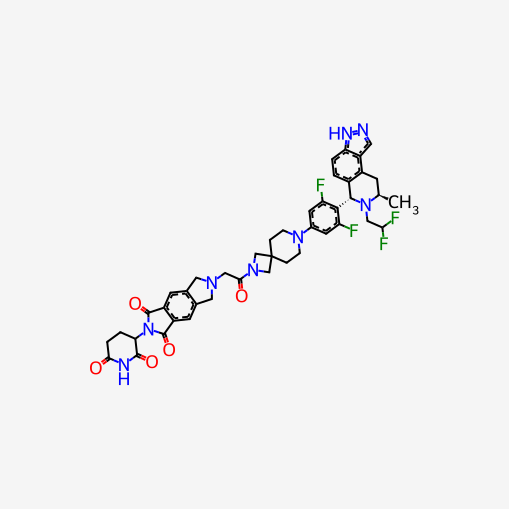 C[C@@H]1Cc2c(ccc3[nH]ncc23)[C@@H](c2c(F)cc(N3CCC4(CC3)CN(C(=O)CN3Cc5cc6c(cc5C3)C(=O)N(C3CCC(=O)NC3=O)C6=O)C4)cc2F)N1CC(F)F